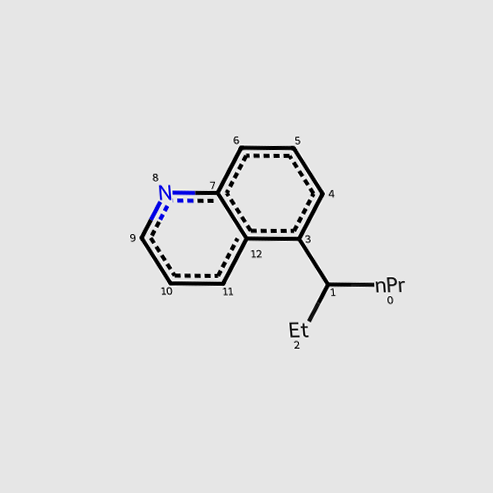 CCCC(CC)c1cccc2ncccc12